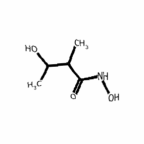 CC(O)C(C)C(=O)NO